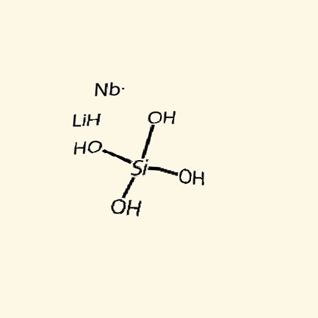 O[Si](O)(O)O.[LiH].[Nb]